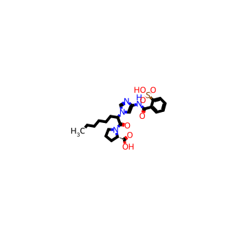 CCCCCCC(C(=O)N1CCC[C@H]1C(=O)O)n1cnc(NC(=O)c2ccccc2S(=O)(=O)O)c1